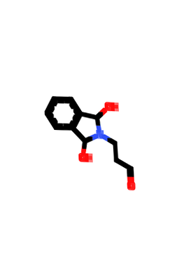 O=CCCN1C(O)c2ccccc2C1O